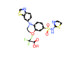 O=C(O)C(F)(F)F.O=S(=O)(Nc1nccs1)c1ccc2c(c1)OCCN2c1ccc2ncsc2c1